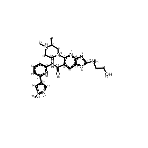 CC1CN(c2nc3nc(NCCO)oc3cc2C(=O)Nc2cccc(-c3cnn(C)c3)n2)CCN1C